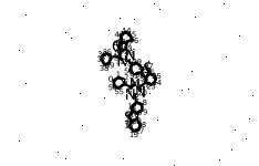 c1ccc(-c2nc(-c3ccc4c(c3)sc3ccccc34)nc(-c3cccc4sc5cc(-c6nc(-c7ccccc7)c7oc8ccccc8c7n6)ccc5c34)n2)cc1